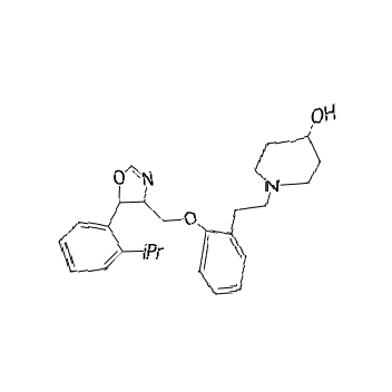 CC(C)c1ccccc1C1OC=NC1COc1ccccc1CCN1CCC(O)CC1